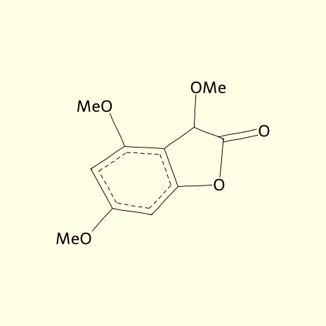 COc1cc(OC)c2c(c1)OC(=O)C2OC